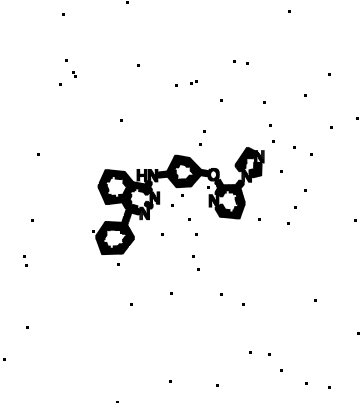 c1ccc(-c2nnc(Nc3ccc(Oc4ncccc4-n4ccnc4)cc3)c3ccccc23)cc1